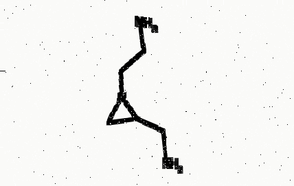 NCCN1CC1CN